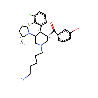 Cc1c(F)cccc1[C@@H]1[C](N2CCC[C@H]2C(F)(F)F)CN(CCCCCN)C[C@@H]1C(=O)c1cccc(O)c1